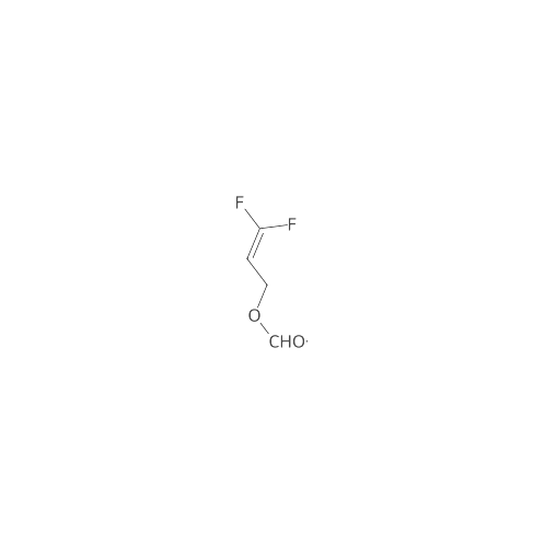 O=[C]OCC=C(F)F